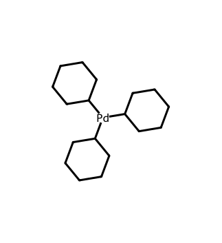 C1CC[CH]([Pd]([CH]2CCCCC2)[CH]2CCCCC2)CC1